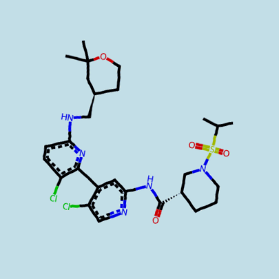 CC(C)S(=O)(=O)N1CCC[C@H](C(=O)Nc2cc(-c3nc(NC[C@@H]4CCOC(C)(C)C4)ccc3Cl)c(Cl)cn2)C1